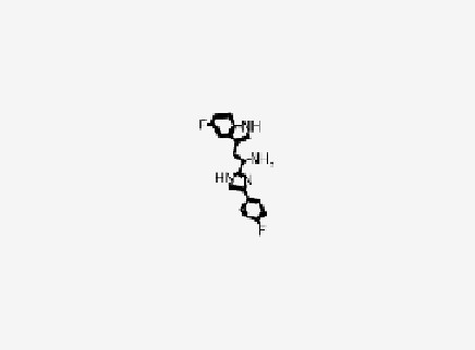 N[C@H](Cc1c[nH]c2ccc(F)cc12)c1nc(-c2ccc(F)cc2)c[nH]1